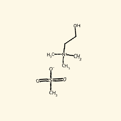 CS(=O)(=O)[O-].C[N+](C)(C)CCO